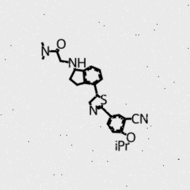 CC(C)Oc1ccc(C2=NCC(c3cccc4c3CCC4NCC(=O)N(C)C)S2)cc1C#N